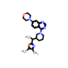 Cc1nc(C(C)C2CCCN(c3ncnc4cc(N5CCOCC5)ccc34)C2)sc1C